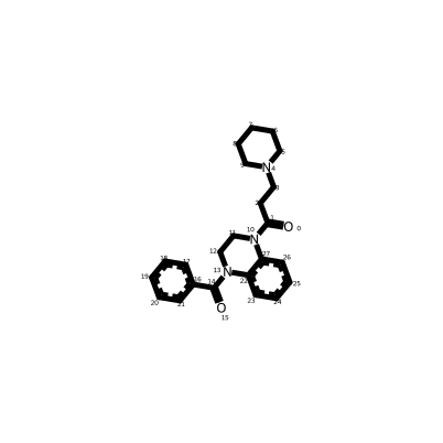 O=C(CCN1CCCCC1)N1CCN(C(=O)c2ccccc2)c2ccccc21